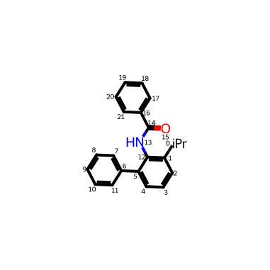 CC(C)c1cccc(-c2ccccc2)c1NC(=O)c1ccccc1